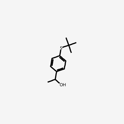 CC(O)c1ccc(SC(C)(C)C)cc1